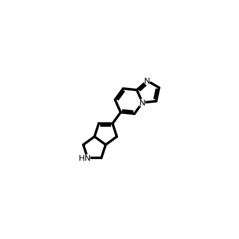 C1=C(c2ccc3nccn3c2)CC2CNCC12